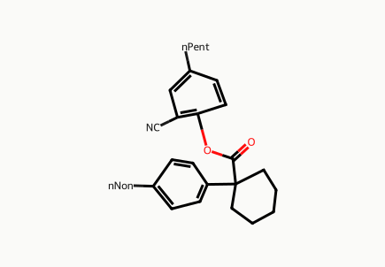 CCCCCCCCCc1ccc(C2(C(=O)Oc3ccc(CCCCC)cc3C#N)CCCCC2)cc1